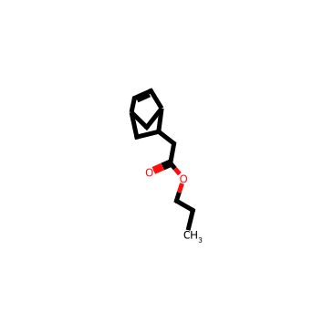 CCCOC(=O)CC1CC2C=CC1C2